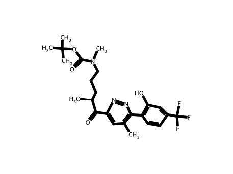 Cc1cc(C(=O)[C@@H](C)CCCN(C)C(=O)OC(C)(C)C)nnc1-c1ccc(C(F)(F)F)cc1O